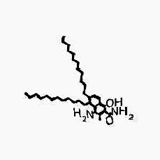 CCCCCCCCCCCCc1ccc2c(O)c(C(N)=O)c(C)c(N)c2c1CCCCCCCCCCCC